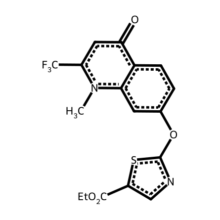 CCOC(=O)c1cnc(Oc2ccc3c(=O)cc(C(F)(F)F)n(C)c3c2)s1